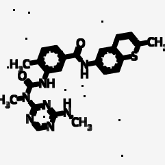 CNc1ncnc(N(C)C(=O)Nc2cc(C(=O)Nc3ccc4c(c3)C=C=C(C)S4)ccc2C)n1